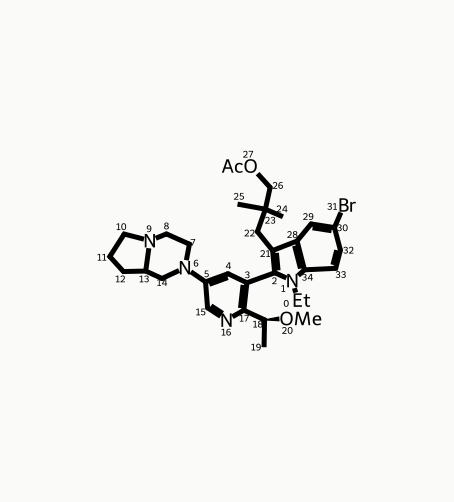 CCn1c(-c2cc(N3CCN4CCCC4C3)cnc2[C@H](C)OC)c(CC(C)(C)COC(C)=O)c2cc(Br)ccc21